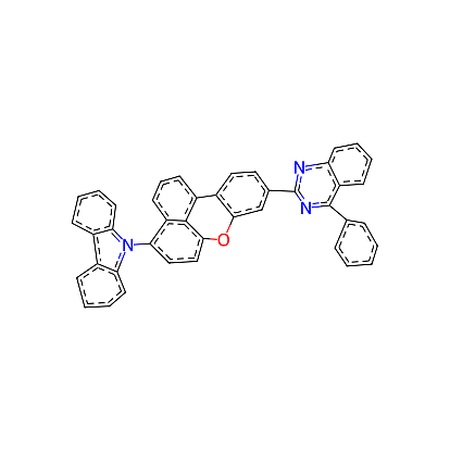 c1ccc(-c2nc(-c3ccc4c(c3)Oc3ccc(-n5c6ccccc6c6ccccc65)c5cccc-4c35)nc3ccccc23)cc1